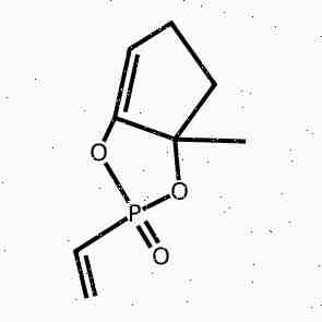 C=CP1(=O)OC2=CCCC2(C)O1